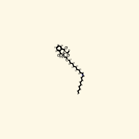 CCCCCCCC/C=C\CCCCCCCCOC(=O)NOC(=O)c1ccccc1C(=O)OCC